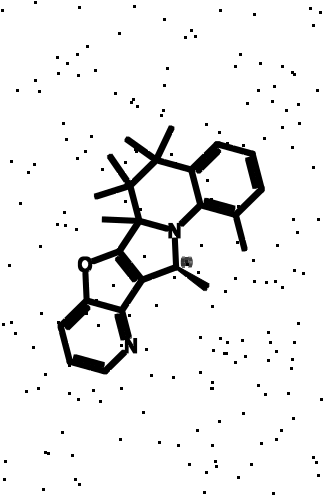 Cc1cccc2c1N1[C@@H](C)c3c(oc4cccnc34)C1(C)C(C)(C)C2(C)C